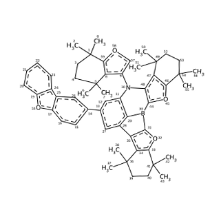 CC1(C)CCC(C)(C)c2c(N3c4cc(-c5ccc6oc7ccccc7c6c5)cc5c4B(c4oc6c(c4-5)C(C)(C)CCC6(C)C)c4oc5c(c43)C(C)(C)CCC5(C)C)coc21